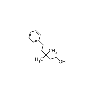 CC(C)(CCO)CCc1ccccc1